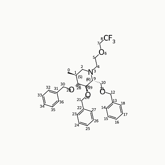 C[C@H]1CN(CCOCC(F)(F)F)[C@H](COCc2ccccc2)[C@@H](OCc2ccccc2)[C@@H]1OCc1ccccc1